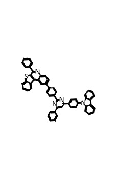 c1ccc(-c2cc(-c3ccc(-n4c5ccccc5c5ccccc54)cc3)nc(-c3ccc(-c4ccc5nc(-c6ccccc6)c6sc7ccccc7c6c5c4)cc3)n2)cc1